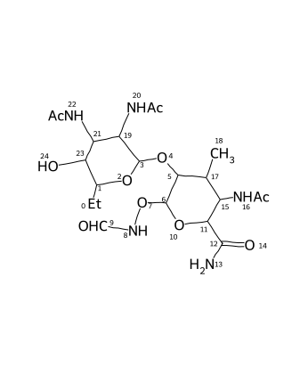 CCC1OC(OC2C(ONC=O)OC(C(N)=O)C(NC(C)=O)C2C)C(NC(C)=O)C(NC(C)=O)C1O